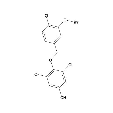 CC(C)Oc1cc(COc2c(Cl)cc(O)cc2Cl)ccc1Cl